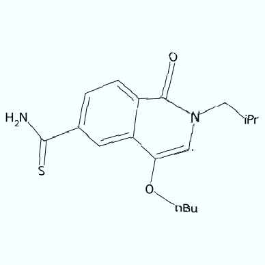 CCCCOc1[c]n(CC(C)C)c(=O)c2ccc(C(N)=S)cc12